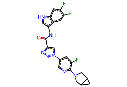 O=C(Nc1c[nH]c2cc(F)c(F)cc12)c1cn(-c2cnc(N3CC4CC4C3)c(F)c2)nn1